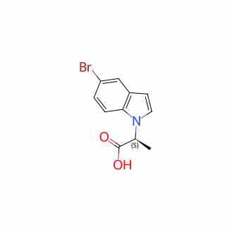 C[C@@H](C(=O)O)n1ccc2cc(Br)ccc21